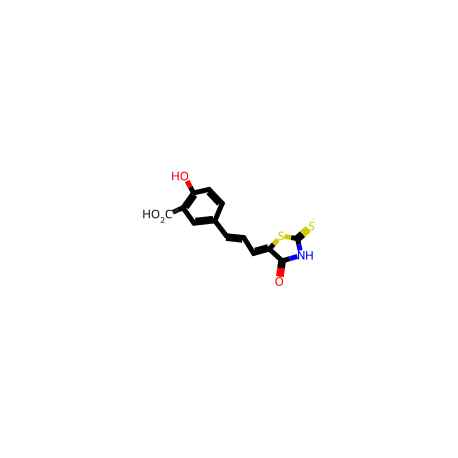 O=C1NC(=S)S/C1=C\C=C\c1ccc(O)c(C(=O)O)c1